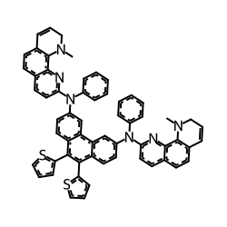 CN1CC=Cc2ccc3ccc(N(c4ccccc4)c4ccc5c(-c6cccs6)c(-c6cccs6)c6ccc(N(c7ccccc7)c7ccc8ccc9c(c8n7)N(C)CC=C9)cc6c5c4)nc3c21